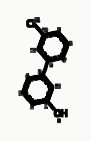 Oc1cccc(-c2[c]ccc(Cl)c2)c1